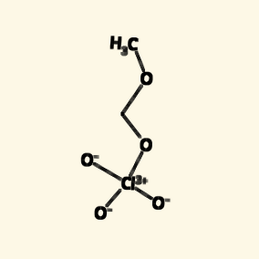 COCO[Cl+3]([O-])([O-])[O-]